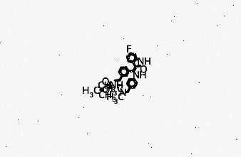 CN(C)Cc1ccc(N/C(=C2\C(=O)Nc3cc(F)ccc32)c2cccc(CCNC(=O)OC(C)(C)C)c2)cc1